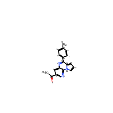 COC(=O)c1cnc2c(c1)nc(-c1ccc(C(C)(C)C)cc1)c1cccn12